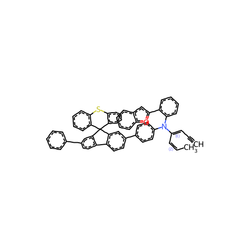 C#C/C=C(\C=C/C)N(c1ccc(-c2ccc3c(c2)C2(c4ccccc4Sc4ccccc42)c2cc(-c4ccccc4)ccc2-3)cc1)c1ccccc1-c1cc2ccccc2o1